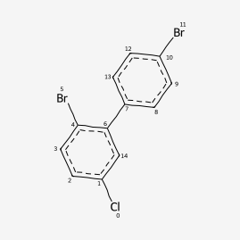 Clc1ccc(Br)c(-c2ccc(Br)cc2)c1